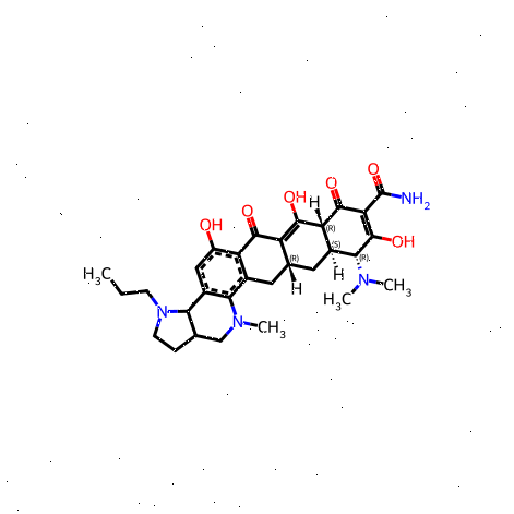 CCCN1CCC2CN(C)c3c(cc(O)c4c3C[C@H]3C[C@H]5[C@@H](C(=O)C(C(N)=O)=C(O)[C@@H]5N(C)C)C(O)=C3C4=O)C21